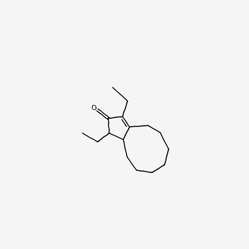 CCC1=C2CCCCCCCC2C(CC)C1=O